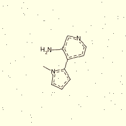 Cn1cccc1-c1ccncc1N